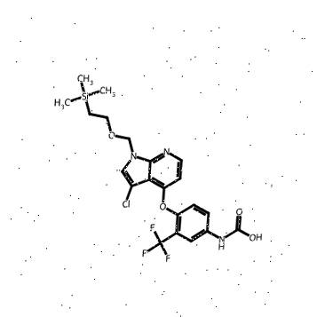 C[Si](C)(C)CCOCn1cc(Cl)c2c(Oc3ccc(NC(=O)O)cc3C(F)(F)F)ccnc21